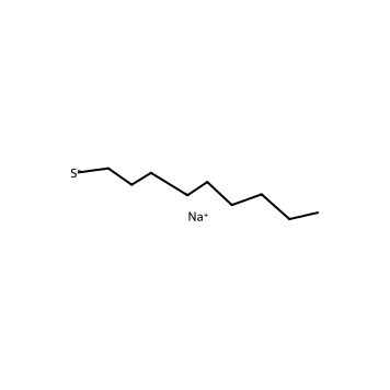 CCCCCCCCC[S-].[Na+]